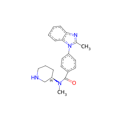 Cc1nc2ccccc2n1-c1ccc(C(=O)N(C)[C@@H]2CCCNC2)cc1